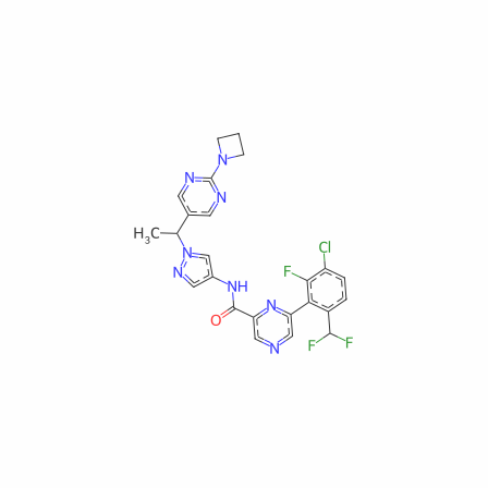 CC(c1cnc(N2CCC2)nc1)n1cc(NC(=O)c2cncc(-c3c(C(F)F)ccc(Cl)c3F)n2)cn1